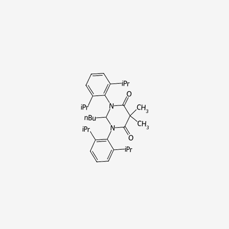 CCCCC1N(c2c(C(C)C)cccc2C(C)C)C(=O)C(C)(C)C(=O)N1c1c(C(C)C)cccc1C(C)C